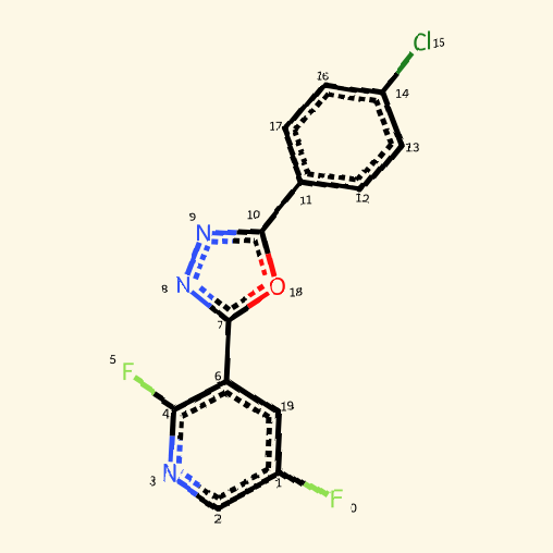 Fc1cnc(F)c(-c2nnc(-c3ccc(Cl)cc3)o2)c1